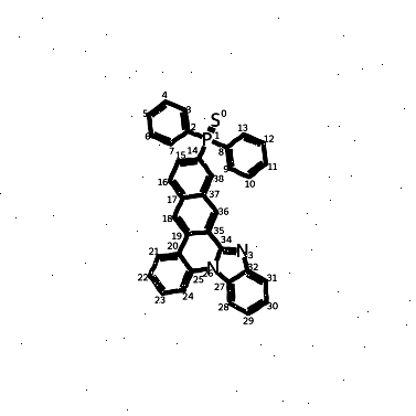 S=P(c1ccccc1)(c1ccccc1)c1ccc2cc3c4ccccc4n4c5ccccc5nc4c3cc2c1